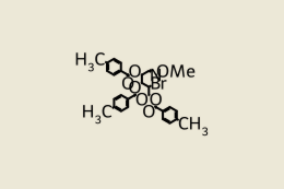 CON=CC(OC(=O)c1ccc(C)cc1)C(OC(=O)c1ccc(C)cc1)C(Br)COC(=O)c1ccc(C)cc1